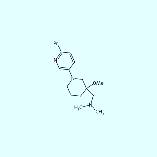 COC1(CN(C)C)CCCN(c2ccc(C(C)C)nc2)C1